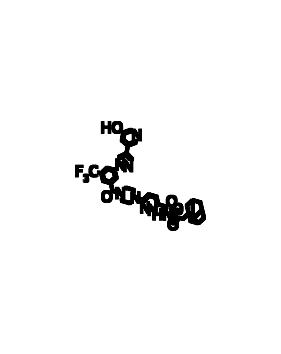 O=C(NS(=O)(=O)CC12CC3CC(CC(C3)C1)C2)c1ccc(N2CCN(C(=O)c3cc(-n4cc(-c5cncc(O)c5)cn4)cc(C(F)(F)F)c3)CC2)nn1